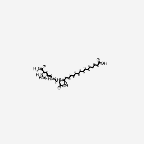 N=N/C(=C\NCC[C@H](NC(=O)CCCCCCCCCCCCCCC(=O)O)C(=O)O)C[C@H](N)C(N)=O